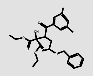 CCOC(=O)C(O)(C(=O)OCC)C(CC(C)OCc1ccccc1)C(=O)c1cc(C)cc(C)c1